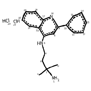 CC(C)(N)CCNc1cc(-c2ccccc2)nc2ccccc12.Cl.Cl